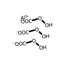 O=C([O-])OO.O=C([O-])OO.O=C([O-])OO.[Al+3]